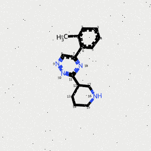 Cc1ccccc1-c1cnnc(C2CCCNC2)n1